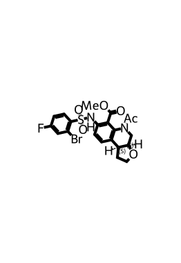 COC(=O)c1c(NS(=O)(=O)c2ccc(F)cc2Br)ccc2c1N(C(C)=O)C[C@H]1OCC[C@@H]21